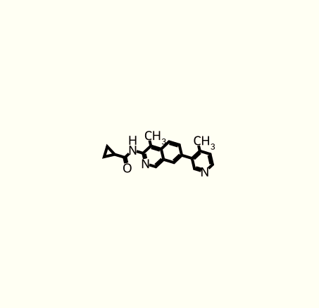 Cc1ccncc1-c1ccc2c(C)c(NC(=O)C3CC3)ncc2c1